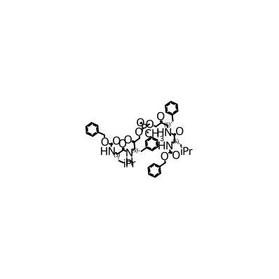 CC(C)C[C@H](NC(=O)OCc1ccccc1)C(=O)N[C@@H](Cc1ccccc1)C(=O)COP(C)(=O)OCC(=O)[C@H](Cc1ccccc1)NC(=O)[C@H](CC(C)C)NC(=O)OCc1ccccc1